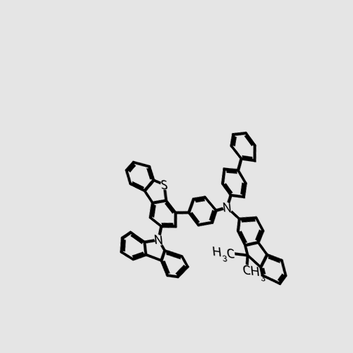 CC1(C)c2ccccc2-c2ccc(N(c3ccc(-c4ccccc4)cc3)c3ccc(-c4cc(-n5c6ccccc6c6ccccc65)cc5c4sc4ccccc45)cc3)cc21